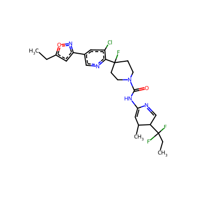 CCc1cc(-c2cnc(C3(F)CCN(C(=O)NC4=CC(C)C(C(F)(F)CC)C=N4)CC3)c(Cl)c2)no1